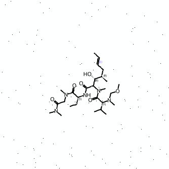 C/C=C/C[C@@H](C)[C@@H](O)C(C(=O)N[C@@H](CC)C(=O)N(C)CC(=O)N(C)C)N(C)C(=O)[C@H](C(C)C)N(C)COC